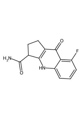 NC(=O)C1CCc2c1[nH]c1cccc(F)c1c2=O